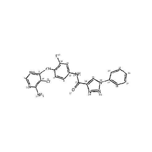 Nc1ncnc(Oc2ccc(NC(=O)c3cn(-c4ccccc4)nn3)cc2F)c1Cl